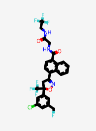 O=C(CNC(=O)c1ccc(C2=NOC(c3cc(Cl)cc(CF)c3)(C(F)(F)F)C2)c2ccccc12)NCC(F)(F)F